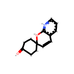 O=C1CCC2(C=Cc3cccnc3O2)CC1